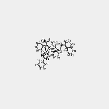 CC1(c2ccc3oc4cccc(-c5nc(-c6ccccc6)nc(-c6ccccc6)n5)c4c3c2)C=CC(c2cccc3ccccc23)=CC1